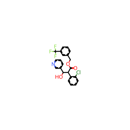 O=C(OCc1cccc(C(F)(F)F)c1)C(c1ccccc1Cl)C(O)c1cccnc1